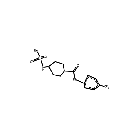 CCC(C)S(=O)(=O)NC1CCC(C(=O)Nc2ccc(C(F)(F)F)cc2)CC1